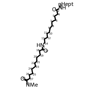 CCCCCCCNC(=O)CCCCCCCCCCCNC(=O)CCCCCCCCCCC(=O)NC